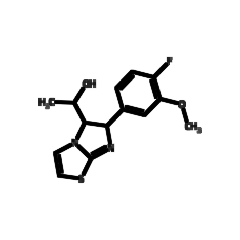 COc1cc(C2N=C3SC=CN3C2C(C)O)ccc1F